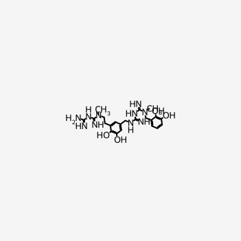 CN(CCc1cc(CNC(=N)NC(=N)N(C)Cc2cccc(O)c2O)cc(O)c1O)C(=N)NC(=N)N